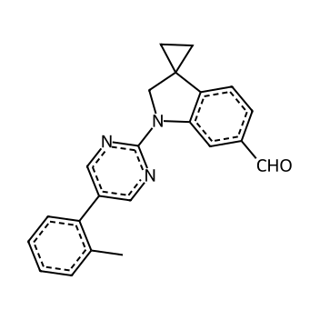 Cc1ccccc1-c1cnc(N2CC3(CC3)c3ccc(C=O)cc32)nc1